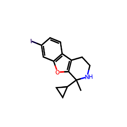 CC1(C2CC2)NCCc2c1oc1cc(I)ccc21